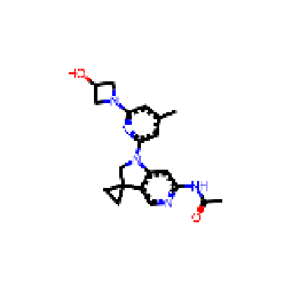 CC(=O)Nc1cc2c(cn1)C1(CC1)CN2c1cc(C)cc(N2CC(O)C2)n1